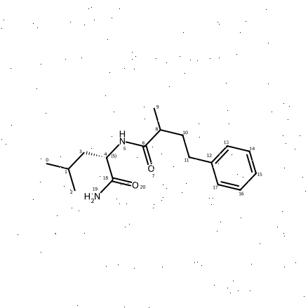 CC(C)C[C@H](NC(=O)C(C)CCc1ccccc1)C(N)=O